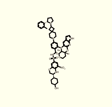 Cc1ccccc1[C@@H]1CCCN1C1CC2(CCN(c3ccc(C(=O)NS(=O)(=O)c4cc5c(c([N+](=O)[O-])c4)N[C@@H](C4CCC(O)CC4)CO5)c(N4c5cc6cc[nH]c6nc5O[C@@H]5CCOC[C@H]54)c3)CC2)C1